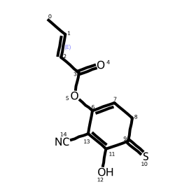 C/C=C/C(=O)OC1=CCC(=S)C(O)=C1C#N